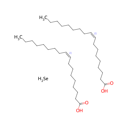 CCCCCCCC/C=C\CCCCCCCC(=O)O.CCCCCCCC/C=C\CCCCCCCC(=O)O.[SeH2]